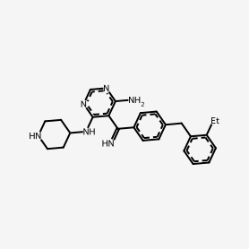 CCc1ccccc1Cc1ccc(C(=N)c2c(N)ncnc2NC2CCNCC2)cc1